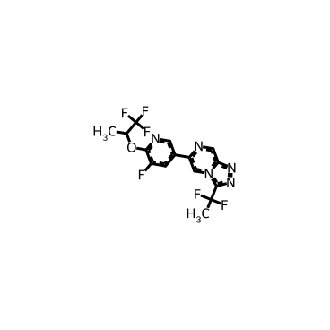 CC(Oc1ncc(-c2cn3c(C(C)(F)F)nnc3cn2)cc1F)C(F)(F)F